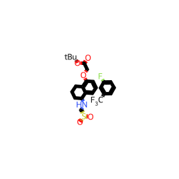 CC(C)(C)OC(=O)COc1cccc2c1CCCC2NC=S(=O)=O.Fc1cccc(C(F)(F)F)c1